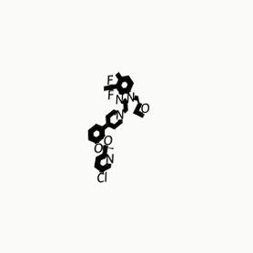 Cc1ccc2c(nc(CN3CCC(c4cccc5c4O[C@@](C)(c4ccc(Cl)cn4)O5)CC3)n2C[C@@H]2CCO2)c1C(C)(F)F